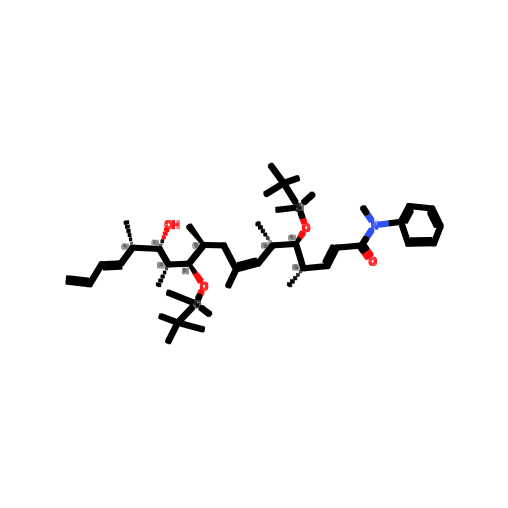 C=CC=C[C@H](C)[C@H](O)[C@@H](C)[C@H](O[Si](C)(C)C(C)(C)C)[C@@H](C)CC(C)=C[C@H](C)[C@@H](O[Si](C)(C)C(C)(C)C)[C@@H](C)C=CC(=O)N(C)c1ccccc1